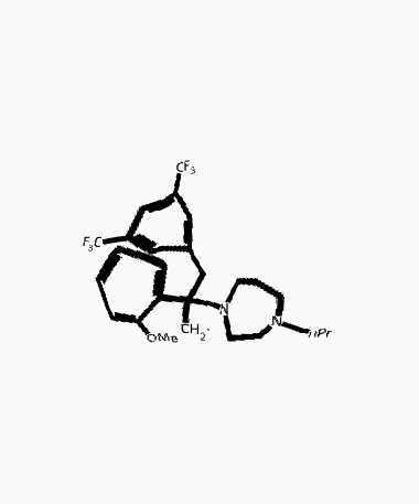 [CH2]C(Cc1cc(C(F)(F)F)cc(C(F)(F)F)c1)(c1ccccc1OC)N1CCN(CCC)CC1